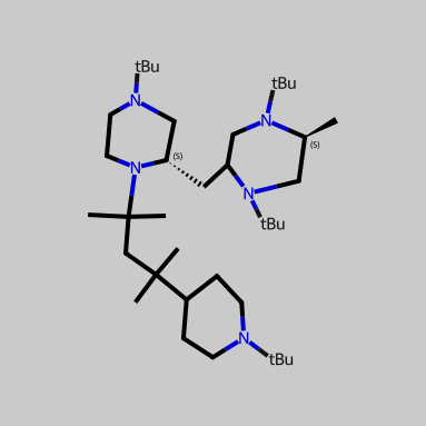 C[C@H]1CN(C(C)(C)C)C(C[C@H]2CN(C(C)(C)C)CCN2C(C)(C)CC(C)(C)C2CCN(C(C)(C)C)CC2)CN1C(C)(C)C